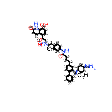 CC(Cc1ccc(NC(=O)CCCc2ccc(-c3ccccc3)c(N(C(=O)O)C3CCC(N)CC3)c2)cc1)NC[C@@H](O)c1ccc(O)c2[nH]c(=O)ccc12